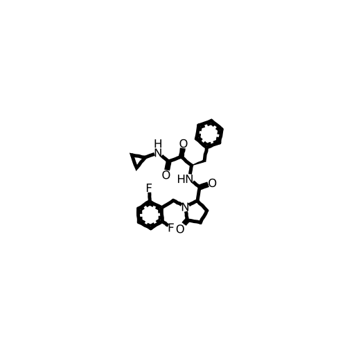 O=C(NC1CC1)C(=O)[C@@H](Cc1ccccc1)NC(=O)C1CCC(=O)N1Cc1c(F)cccc1F